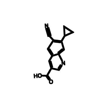 N#Cc1cc2cc(C(=O)O)cnc2cc1C1CC1